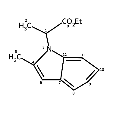 CCOC(=O)C(C)n1c(C)cc2ccccc21